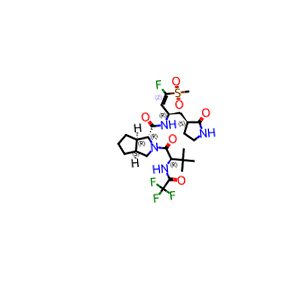 CC(C)(C)[C@@H](NC(=O)C(F)(F)F)C(=O)N1C[C@H]2CCC[C@H]2[C@@H]1C(=O)N[C@@H](/C=C(/F)S(C)(=O)=O)C[C@@H]1CCNC1=O